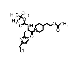 CC(=O)OCCC1CCN(C(=O)[C@H](Cc2nc(CCl)cs2)NC(=O)OC(C)(C)C)CC1